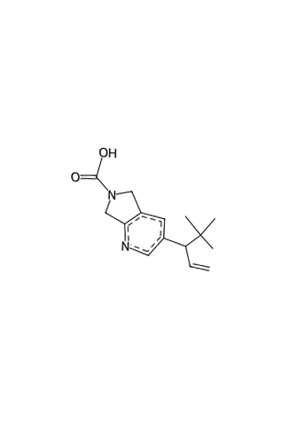 C=CC(c1cnc2c(c1)CN(C(=O)O)C2)C(C)(C)C